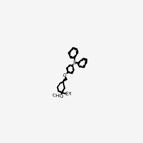 CCC1(C=O)CCC/C(=C\Oc2ccc(N(c3ccccc3)c3ccccc3)cc2)C1